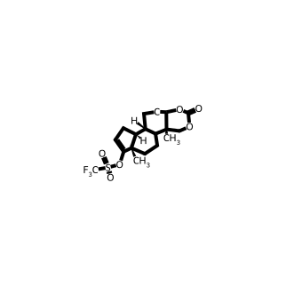 C[C@]12COC(=O)OC1CC[C@@H]1C2CC[C@]2(C)C(OS(=O)(=O)C(F)(F)F)=CC[C@@H]12